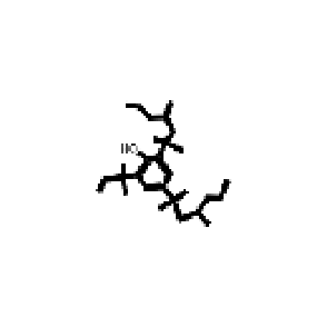 CCCC(C)CC(C)(C)c1cc(C(C)(C)CC)c(O)c(C(C)(C)CC(C)CCC)c1